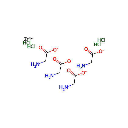 Cl.Cl.Cl.Cl.NCC(=O)[O-].NCC(=O)[O-].NCC(=O)[O-].NCC(=O)[O-].[Zr+4]